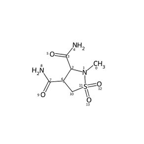 CN1C(C(N)=O)[C](C(N)=O)CS1(=O)=O